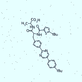 CC(NC(=O)C(Cc1ccc(-c2ncc(-c3ccc(C(C)(C)C)cc3)cn2)cc1)NC(=O)c1ccc(C(C)(C)C)s1)C(=O)O